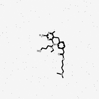 CC[C@@H](CCCO)Nc1nc(N)nc(C)c1Cc1ccc(CC(=O)OCCCCN(C)C)cc1